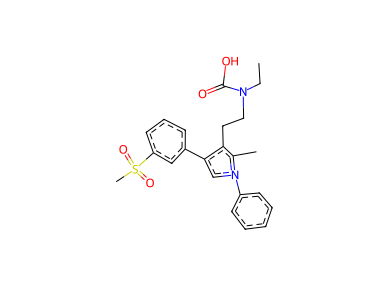 CCN(CCc1c(-c2cccc(S(C)(=O)=O)c2)cn(-c2ccccc2)c1C)C(=O)O